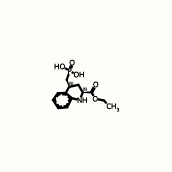 CCOC(=O)[C@@H]1C[C@H](CP(=O)(O)O)c2ccccc2N1